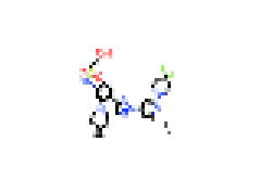 Cc1cc(-n2ncc(-c3ccc(NS(=O)(=O)CCO)cc3N3CCC4(CC3)CC4)n2)cc(N2CCC(F)(F)CC2)n1